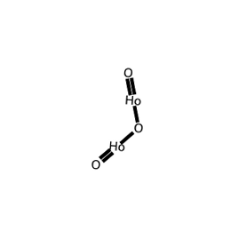 [O]=[Ho][O][Ho]=[O]